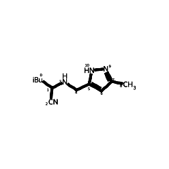 CCC(C)C(C#N)NCc1cc(C)n[nH]1